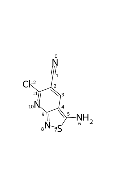 N#Cc1cc2c(N)snc2nc1Cl